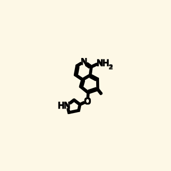 Cc1cc2c(N)nccc2cc1OC1CCNC1